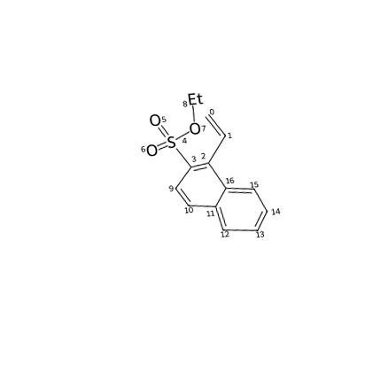 C=Cc1c(S(=O)(=O)OCC)ccc2ccccc12